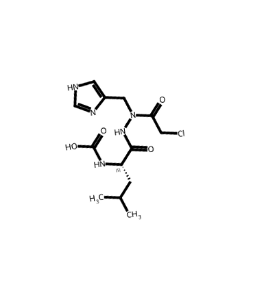 CC(C)C[C@H](NC(=O)O)C(=O)NN(Cc1c[nH]cn1)C(=O)CCl